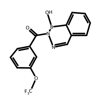 O=C(c1cccc(OC(F)(F)F)c1)N1N=Cc2ccccc2B1O